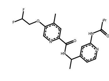 Cc1cc(C(=O)NC(C)c2ccnc(NC(=O)C(C)C)c2)ncc1OCC(F)F